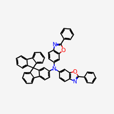 c1ccc(-c2nc3ccc(N(c4ccc5c(c4)C4(c6ccccc6-c6ccccc64)c4ccccc4-5)c4ccc5nc(-c6ccccc6)oc5c4)cc3o2)cc1